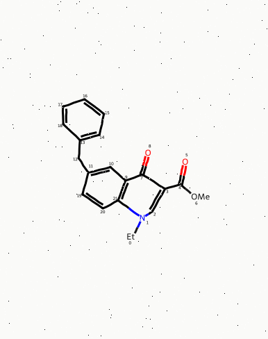 CCn1cc(C(=O)OC)c(=O)c2cc(Cc3ccccc3)ccc21